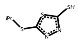 CC(C)Sc1nnc(S)s1